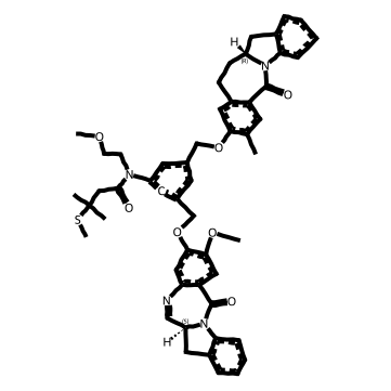 COCCN(C(=O)CC(C)(C)SC)c1cc(COc2cc3c(cc2C)C(=O)N2c4ccccc4C[C@H]2CC3)cc(COc2cc3c(cc2OC)C(=O)N2c4ccccc4C[C@H]2C=N3)c1